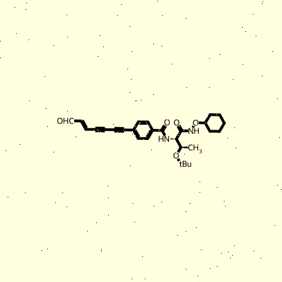 C[C@@H](OC(C)(C)C)[C@H](NC(=O)c1ccc(C#CC#C/C=C/C=O)cc1)C(=O)NOC1CCCCC1